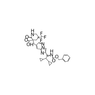 O=C(N[C@H](c1cn2ncc(CC3(C(=O)O)C[C@@H](C(F)(F)F)CNC3=O)cc2n1)C(C1CC1)C1CC1)OCc1ccccc1